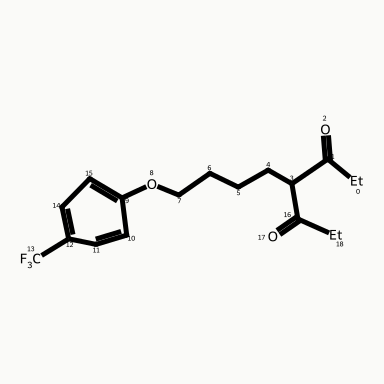 CCC(=O)C(CCCCOc1ccc(C(F)(F)F)cc1)C(=O)CC